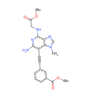 Cn1cnc2c(NCC(=O)OC(C)(C)C)nc(N)c(C#Cc3cccc(C(=O)OC(C)(C)C)c3)c21